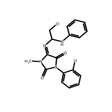 CN1C(=O)N(c2ccccc2Cl)C(=O)C1=NC(CCl)Nc1ccccc1